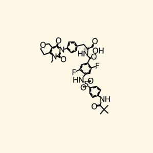 Cn1c2c(c(=O)n(-c3ccc(C[C@H](NC(=O)c4cc(F)c(NS(=O)(=O)c5ccc(NC(=O)C(C)(C)C)cc5)cc4F)C(=O)O)cc3)c1=O)COCC2